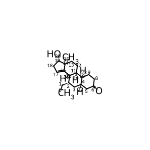 CC[C@@H]1C[C@H]2CC(=O)CC[C@@H]2[C@H]2CC[C@@]3(C)C(=CC[C@@H]3O)[C@H]12